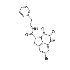 O=C(NCCc1ccccc1)C1Cc2cc(Br)cc3[nH]c(=O)c(=O)n1c23